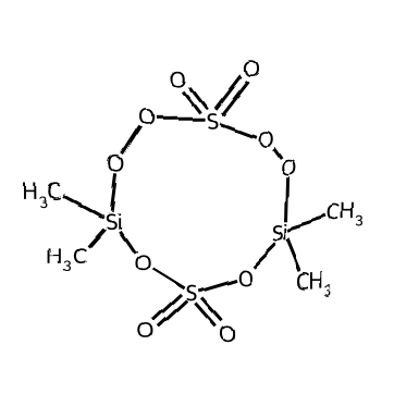 C[Si]1(C)OOS(=O)(=O)OO[Si](C)(C)OS(=O)(=O)O1